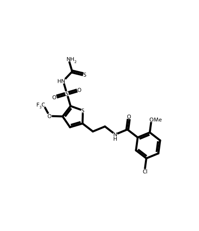 COc1ccc(Cl)cc1C(=O)NCCc1cc(OC(F)(F)F)c(S(=O)(=O)NC(N)=S)s1